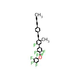 CC#CC#Cc1ccc(C#Cc2cc(F)c(-c3cc(F)c(C(F)(F)Oc4cc(F)c(F)c(F)c4)c(F)c3)cc2C)cc1